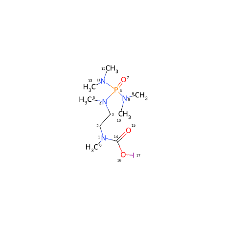 CN(CCN(C)P(=O)(N(C)C)N(C)C)C(=O)OI